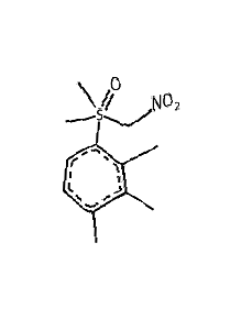 Cc1ccc(S(C)(C)(=O)C[N+](=O)[O-])c(C)c1C